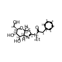 CCN(C(=O)Cc1ccccc1)C1=N[C@@H]2[C@@H](O)[C@H](O)[C@@H](CO)O[C@@H]2S1